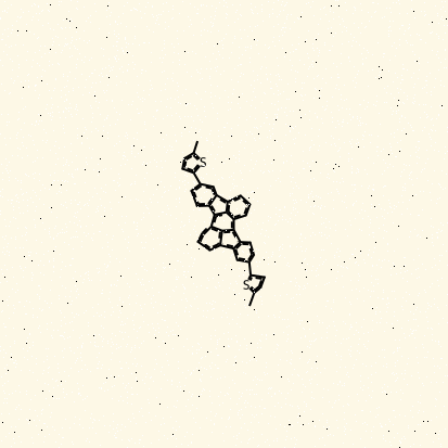 Cc1ccc(-c2ccc3c(c2)c2cccc4c2c3c2cccc3c5cc(-c6ccc(C)s6)ccc5c4c32)s1